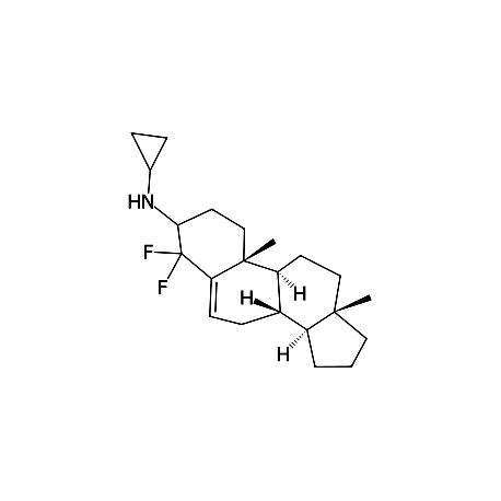 C[C@@]12CCC[C@H]1[C@@H]1CC=C3C(F)(F)C(NC4CC4)CC[C@]3(C)[C@H]1CC2